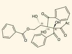 CC(=O)C(=O)[C@](O)(C(=O)c1ccccc1)[C@](O)(C(=O)c1ccccc1)[C@@H](O)COC(=O)c1ccccc1